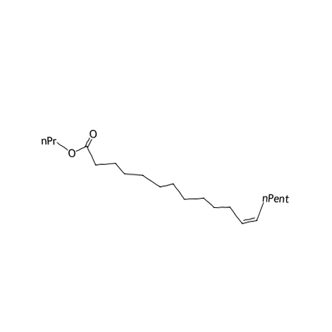 CCCCC/C=C\CCCCCCCCCCC(=O)OCCC